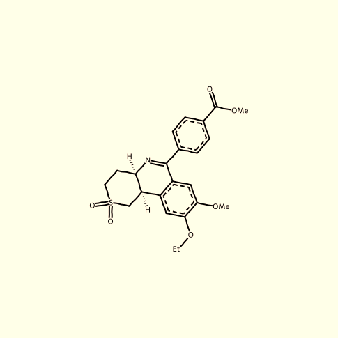 CCOc1cc2c(cc1OC)C(c1ccc(C(=O)OC)cc1)=N[C@@H]1CCS(=O)(=O)C[C@H]21